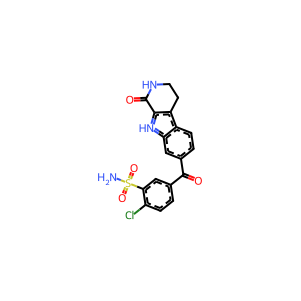 NS(=O)(=O)c1cc(C(=O)c2ccc3c4c([nH]c3c2)C(=O)NCC4)ccc1Cl